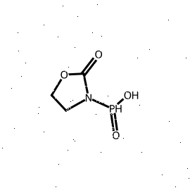 O=C1OCCN1[PH](=O)O